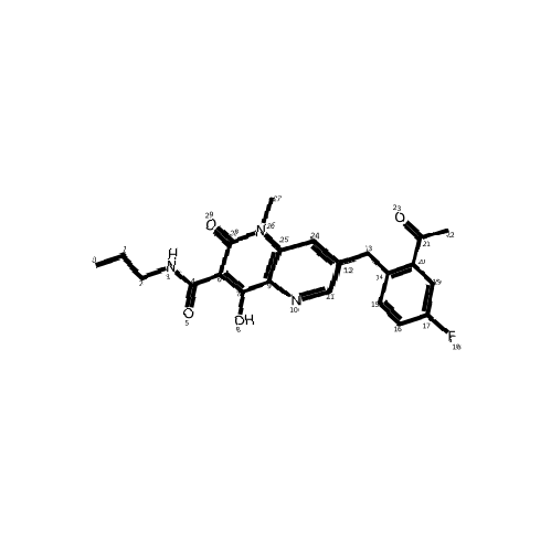 CCCNC(=O)c1c(O)c2ncc(Cc3ccc(F)cc3C(C)=O)cc2n(C)c1=O